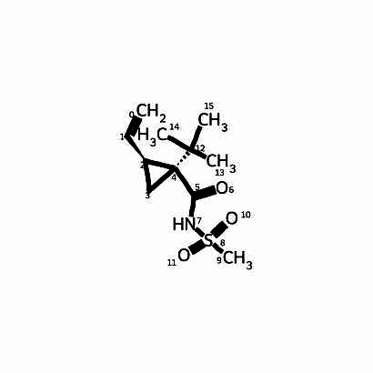 C=C[C@@H]1C[C@@]1(C(=O)NS(C)(=O)=O)C(C)(C)C